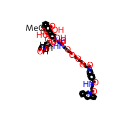 COc1cccc2c1C(=O)c1c(O)c3c(c(O)c1C2=O)C[C@@](O)(C(=O)NCC(=O)NCCOCCOCCOCCOCCC(=O)N1CCC2(CCC(C(=O)NCCC(=O)N4Cc5ccccc5C#Cc5ccccc54)CC2)CC1)C[C@@H]3O[C@H]1C[C@H]2[C@H](O[C@@H]3COCCN32)[C@H](C)O1